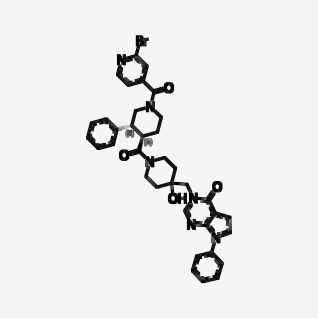 O=C(c1ccnc(Br)c1)N1CC[C@@H](C(=O)N2CCC(O)(Cn3cnc4c(ccn4-c4ccccc4)c3=O)CC2)[C@H](c2ccccc2)C1